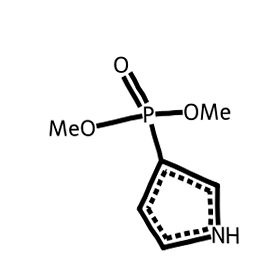 COP(=O)(OC)c1cc[nH]c1